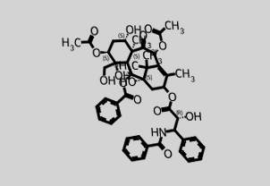 CC(=O)O[C@H]1C(=O)[C@@]2(C)C([C@H](OC(=O)c3ccccc3)[C@]3(O)CC(OC(=O)[C@H](O)C(NC(=O)c4ccccc4)c4ccccc4)C(C)=C1C3(C)C)[C@](O)(CO)[C@@H](OC(C)=O)C[C@@H]2O